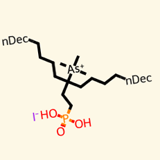 CCCCCCCCCCCCCCC(CCCCCCCCCCCCCC)(CCP(=O)(O)O)[As+](C)(C)C.[I-]